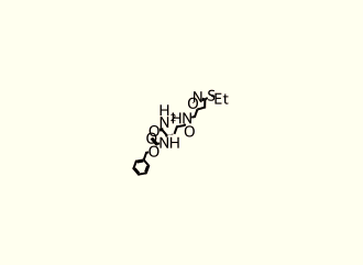 CCSC1=NOC(CNC(=O)CC[C@H](NC(=O)OCc2ccccc2)C(N)=O)C1